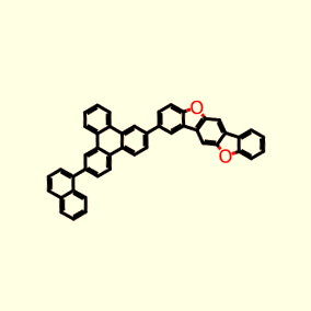 c1ccc2c(-c3ccc4c5ccc(-c6ccc7oc8cc9c(cc8c7c6)oc6ccccc69)cc5c5ccccc5c4c3)cccc2c1